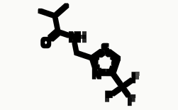 CC(C)C(=O)NCc1nc(C(F)(F)F)cs1